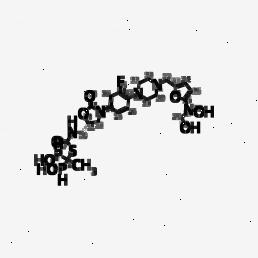 CC(PO)(PO)SC(=O)NC[C@H]1CN(c2ccc(N3CCN(Cc4ccc(N(O)CO)o4)CC3)c(F)c2)C(=O)O1